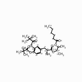 CCCCCC(=O)OC(C)[C@H](C)OC(=O)[C@@H](N)Cc1ccc(OC(=O)C(C)(C)C)c(OC(=O)C(C)(C)C)c1